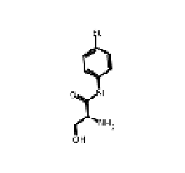 CCc1ccc(NC(=O)[C@@H](N)CO)cc1